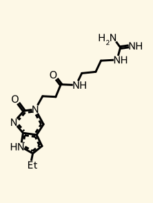 CCc1cc2cn(CCC(=O)NCCCNC(=N)N)c(=O)nc2[nH]1